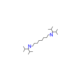 CC(C)C(=NCCCCCCCCN=C(C(C)C)C(C)C)C(C)C